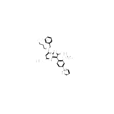 CCOC(=O)CCCN(Cc1ccccc1)c1cc(C)nc2c(-c3ccc(-n4cccn4)cc3OC)c(C)nn12